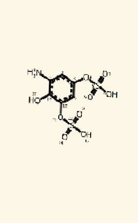 Nc1cc(OS(=O)(=O)O)cc(OS(=O)(=O)O)c1O